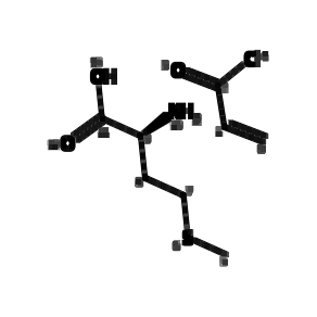 C=CC(=O)Cl.CSCC[C@H](N)C(=O)O